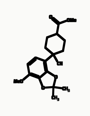 COC(=O)C1CCC(C#N)(c2ccc(OC)c3c2OC(C)(C)O3)CC1